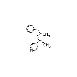 COC(SC(C)Cc1ccccc1)c1ccncc1